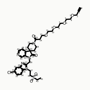 C#CCOCCOCCOCCOCCC(=O)N1CCC2(CC1)C(=O)N(Cc1nc3cc(Cl)ccc3n1CCS(=O)(=O)CC)c1cnccc12